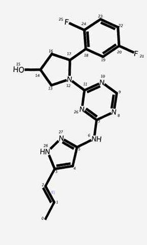 C/C=C/c1cc(Nc2ncnc(N3CC(O)CC3c3cc(F)ccc3F)n2)n[nH]1